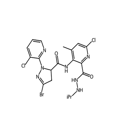 Cc1cc(Cl)nc(C(=O)NNC(C)C)c1NC(=O)C1CC(Br)=NN1c1ncccc1Cl